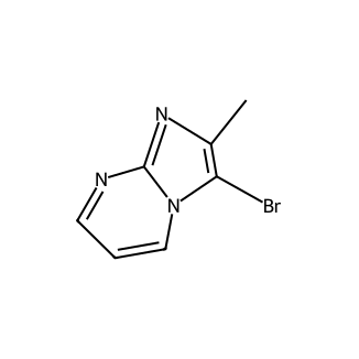 Cc1nc2ncccn2c1Br